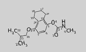 CNC(=O)Oc1ccc(OCC(C)C)c2c1CCCC2